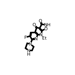 CCn1c2nc(N3CCNCC3)c(F)cc2c(=O)c2c(=O)[nH]oc21